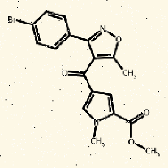 COC(=O)c1cc(C(=O)c2c(-c3ccc(Br)cc3)noc2C)cn1C